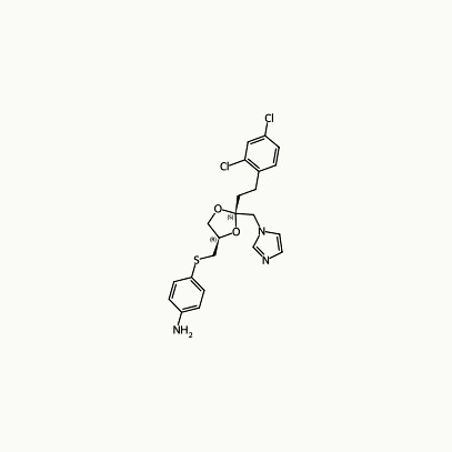 Nc1ccc(SC[C@H]2CO[C@](CCc3ccc(Cl)cc3Cl)(Cn3ccnc3)O2)cc1